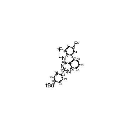 CN(c1ccc(F)cc1F)c1nc(-c2ccc(C(C)(C)C)cc2)nc2ccccc12